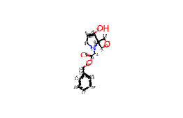 O=C(CN1CC=C(O)C12COC2)OCc1ccccc1